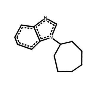 [c]1nc2ccccc2n1C1CCCCCC1